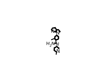 Cc1ccc(N=C(N)c2ccc(-n3ccc4cccnc43)cc2C)cn1